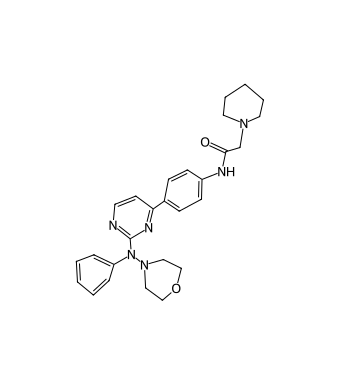 O=C(CN1CCCCC1)Nc1ccc(-c2ccnc(N(c3ccccc3)N3CCOCC3)n2)cc1